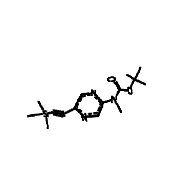 CN(C(=O)OC(C)(C)C)c1cnc(C#C[Si](C)(C)C)cn1